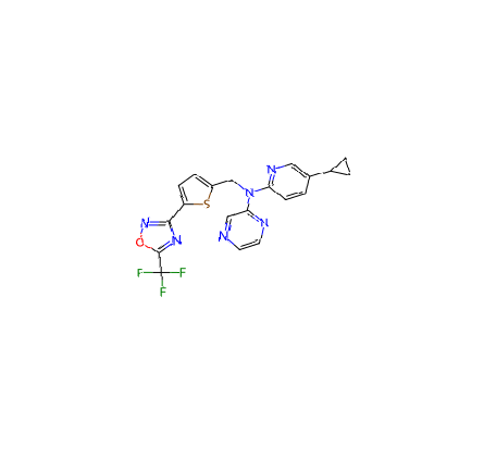 FC(F)(F)c1nc(-c2ccc(CN(c3ccc(C4CC4)cn3)c3cnccn3)s2)no1